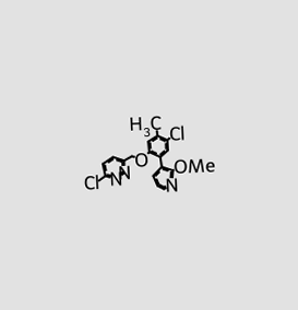 COc1ncccc1-c1cc(Cl)c(C)cc1OCc1ccc(Cl)nn1